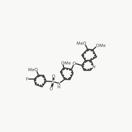 COc1cc(S(=O)(=O)Nc2ccc(Oc3ccnc4cc(OC)c(OC)cc34)c(OC)c2)ccc1F